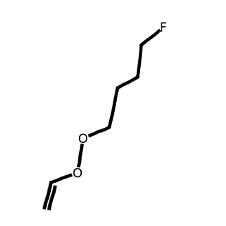 C=COOCCCCF